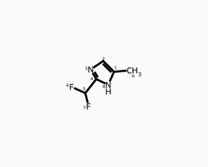 Cc1cnc(C(F)F)[nH]1